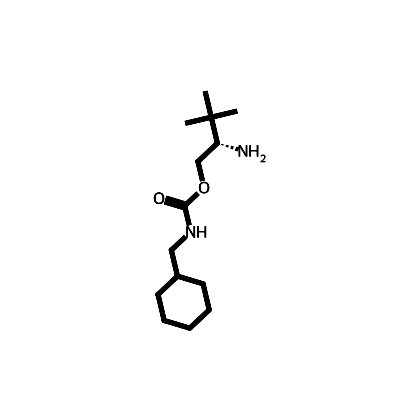 CC(C)(C)[C@H](N)COC(=O)NCC1CCCCC1